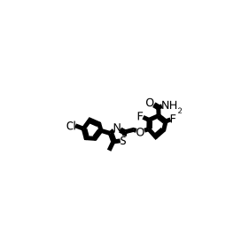 Cc1sc(COc2ccc(F)c(C(N)=O)c2F)nc1-c1ccc(Cl)cc1